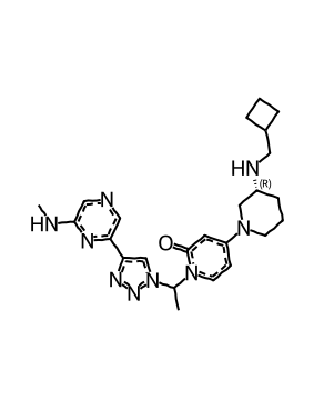 CNc1cncc(-c2cn(C(C)n3ccc(N4CCC[C@@H](NCC5CCC5)C4)cc3=O)nn2)n1